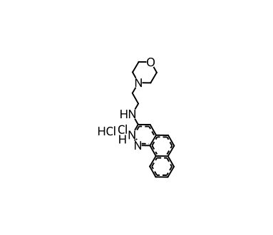 Cl.Cl.c1ccc2c(c1)ccc1cc(NCCN3CCOCC3)nnc12